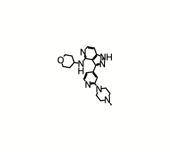 CN1CCN(c2cc(-c3n[nH]c4ccnc(NC5CCOCC5)c34)ccn2)CC1